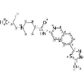 Cc1nnc(-c2ccc3cnc(NC(=O)C4CCN(C[C@H](C)F)CC4)cc3c2)s1